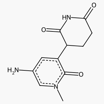 Cn1cc(N)cc(C2CCC(=O)NC2=O)c1=O